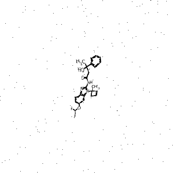 CC(O)(CC(=O)Nc1nc2ccc(OC(F)F)cc2n1C1(C)CCC1)c1ccccc1